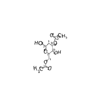 CC(=O)OCC1OC(O)CC(OC(C)=O)C1O